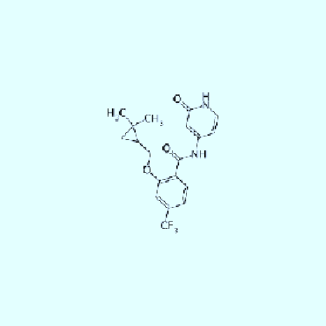 CC1(C)CC1COc1cc(C(F)(F)F)ccc1C(=O)Nc1cc[nH]c(=O)c1